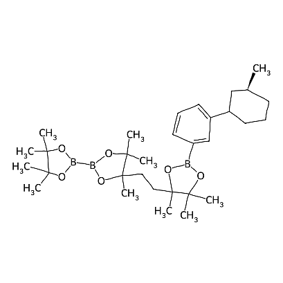 C[C@H]1CCCC(c2cccc(B3OC(C)(C)C(C)(CCC4(C)OB(B5OC(C)(C)C(C)(C)O5)OC4(C)C)O3)c2)C1